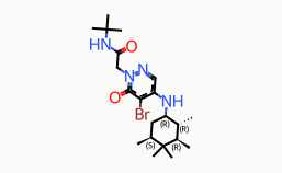 C[C@@H]1[C@@H](C)C(C)(C)[C@@H](C)C[C@H]1Nc1cnn(CC(=O)NC(C)(C)C)c(=O)c1Br